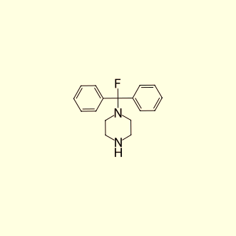 FC(c1ccccc1)(c1ccccc1)N1CCNCC1